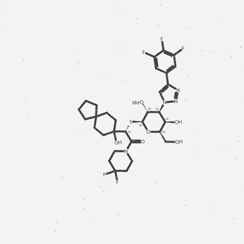 CO[C@@H]1[C@@H](n2cc(-c3cc(F)c(F)c(F)c3)nn2)[C@@H](O)[C@@H](CO)O[C@H]1S[C@H](C(=O)N1CCC(F)(F)CC1)C1(O)CCC2(CCCC2)CC1